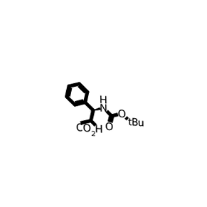 CC(C(=O)O)[C@H](NC(=O)OC(C)(C)C)c1ccccc1